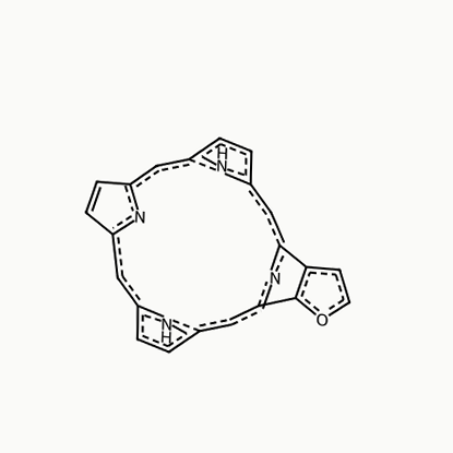 C1=Cc2cc3ccc(cc4nc(cc5ccc(cc1n2)[nH]5)-c1ccoc1-4)[nH]3